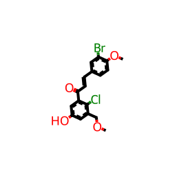 COCc1cc(O)cc(C(=O)/C=C/c2ccc(OC)c(Br)c2)c1Cl